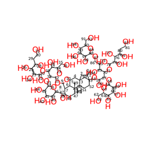 C=C1CC23CCC4[C@](C)(C(=O)OC5OC(CO)C(O)C(OC(O)/C(O)=C(/O)C(O)CCO)C5OC5OC(CO)C(O)C(O)C5O)CCC[C@@]4(C)[C@@H]2CC[C@]1(OC(O)C(OC1OC(CO)C(O)C(O)C1O)C(OC(O)C(O)C(O)C(O)CCO)C(O)CCOC1OC(CO)C(O)C(O)C1O)C3